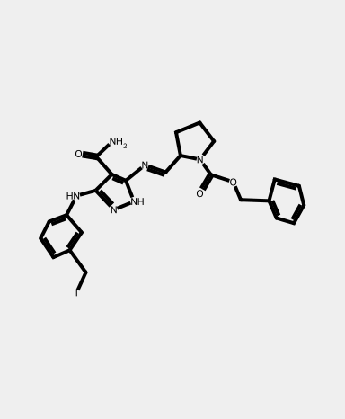 NC(=O)c1c(Nc2cccc(CI)c2)n[nH]c1/N=C/C1CCCN1C(=O)OCc1ccccc1